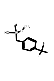 CO[Si](O)(O)Cc1ccc(C(F)(F)F)cc1